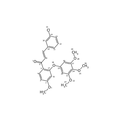 COc1ccc(C(=O)/C=C/c2cccc(Cl)c2)c(Oc2cc(OC)c(OC)c(OC)c2)c1